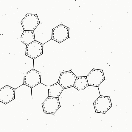 Cc1c(-c2ccccc2)nc(-c2cc(-c3ccccc3)c3c(c2)oc2ccccc23)nc1-n1c2ccccc2c2c3sc4c(-c5ccccc5)cccc4c3ccc21